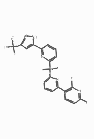 CC(C)(c1cccc(-c2cc(C(F)(F)F)n[nH]2)n1)c1cccc(-c2ccc(F)nc2F)n1